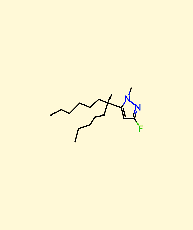 CCCCCCC(C)(CCCCC)c1cc(F)nn1C